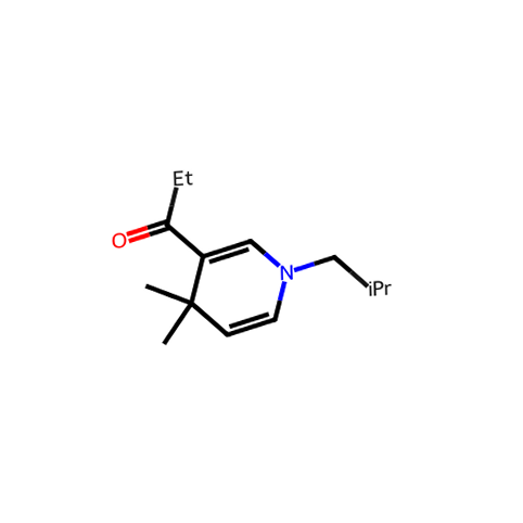 CCC(=O)C1=CN(CC(C)C)C=CC1(C)C